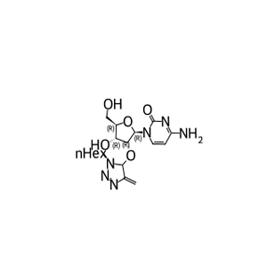 C=C1N=NN(CCCCCC)C1O[C@@H]1[C@H](O)[C@@H](CO)O[C@H]1n1ccc(N)nc1=O